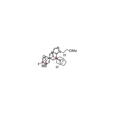 COCCn1ncc2cc(S(=O)(=O)CC(C)(C)C)cc(N3[C@@H]4CC[C@H]3CN(C(=O)c3ccc(F)cc3)C4)c21